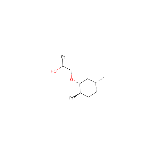 CCC(O)CO[C@@H]1C[C@H](C)CC[C@H]1C(C)C